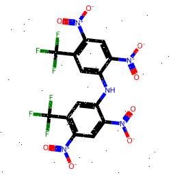 O=[N+]([O-])c1cc([N+](=O)[O-])c(C(F)(F)F)cc1Nc1cc(C(F)(F)F)c([N+](=O)[O-])cc1[N+](=O)[O-]